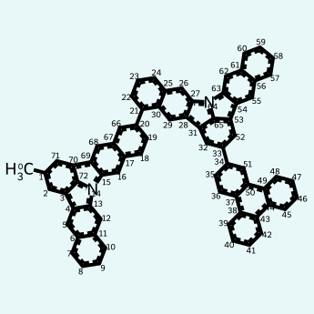 Cc1cc2c3cc4ccccc4cc3n3c4cc5ccc(-c6cccc7cc8c(cc67)c6cc(-c7ccc9c%10ccccc%10c%10ccccc%10c9c7)cc7c9cc%10ccccc%10cc9n8c76)cc5cc4c(c1)c23